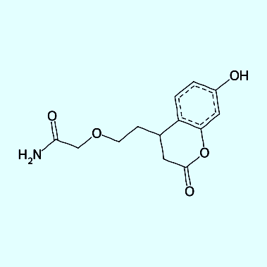 NC(=O)COCCC1CC(=O)Oc2cc(O)ccc21